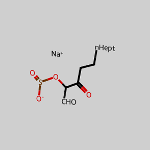 CCCCCCCCCC(=O)C(C=O)OS(=O)[O-].[Na+]